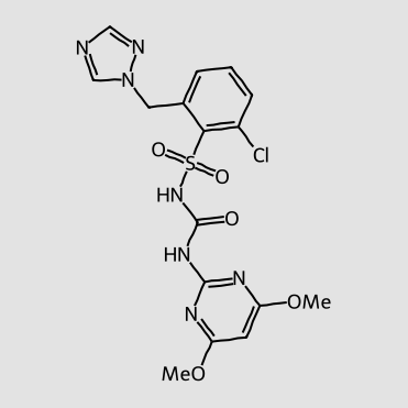 COc1cc(OC)nc(NC(=O)NS(=O)(=O)c2c(Cl)cccc2Cn2cncn2)n1